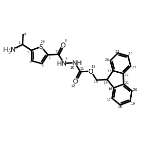 CC(N)c1ccc(C(=O)NNC(=O)OCC2c3ccccc3-c3ccccc32)s1